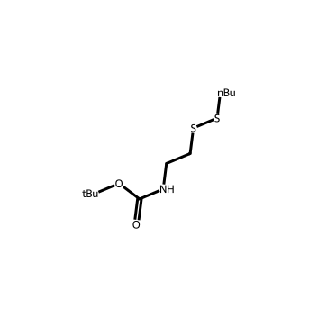 CCCCSSCCNC(=O)OC(C)(C)C